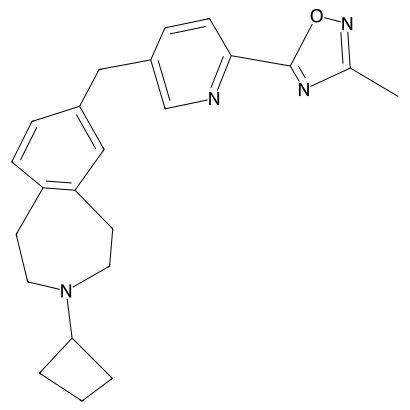 Cc1noc(-c2ccc(Cc3ccc4c(c3)CCN(C3CCC3)CC4)cn2)n1